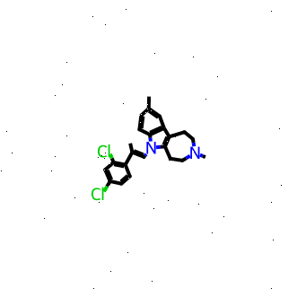 CC(=Cn1c2c(c3cc(C)ccc31)CCN(C)CC2)c1ccc(Cl)cc1Cl